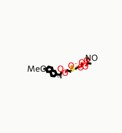 COc1ccc2cc([C@H](C)C(=O)OCC[S+]([O-])CCOC(=O)OC(C)ON=O)ccc2c1